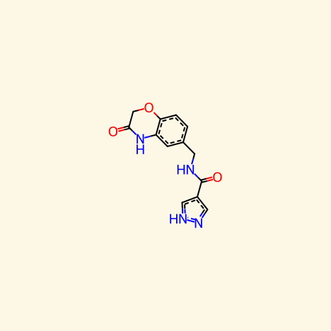 O=C1COc2ccc(CNC(=O)c3cn[nH]c3)cc2N1